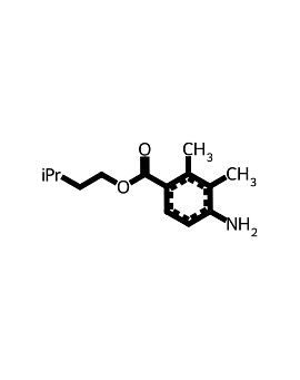 Cc1c(N)ccc(C(=O)OCCC(C)C)c1C